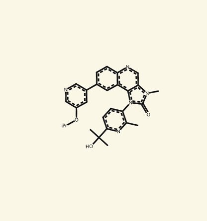 Cc1nc(C(C)(C)O)ccc1-n1c(=O)n(C)c2cnc3ccc(-c4cncc(OC(C)C)c4)cc3c21